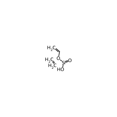 C=C.C=CO[Si](=O)O